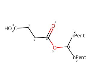 CCCCCC(CCCCC)OC(=O)CCC(=O)O